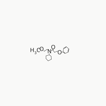 COCCN(C(=O)CCOc1ccccc1)C1CCCCC1